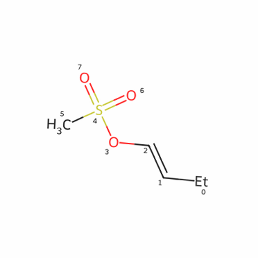 CCC=COS(C)(=O)=O